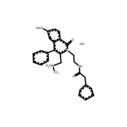 COc1ccc2c(=O)n(CCNC(=O)Cc3ccccc3)c(CN(C)C)c(-c3ccccc3)c2c1.Cl